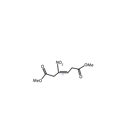 COC(=O)C/C=C(/CC(=O)OC)[N+](=O)[O-]